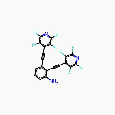 Nc1cccc(C#Cc2c(F)c(F)nc(F)c2F)c1C#Cc1c(F)c(F)nc(F)c1F